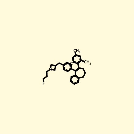 Cc1cc(C)c(C2=C(c3ccc(CC4CN(CCCF)C4)cc3)c3ccccc3CCC2)c(C)c1